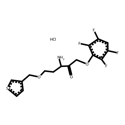 Cl.NC(CCOCc1ccsc1)C(=O)COc1c(F)c(F)cc(F)c1F